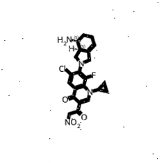 N[C@H]1CCC=C2CN(c3c(Cl)cc4c(=O)c(C(=O)C[N+](=O)[O-])cn(C5CC5)c4c3F)C[C@H]21